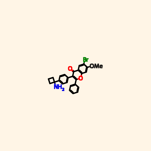 COc1cc2oc(-c3ccccc3)c(-c3ccc(C4(N)CCC4)cc3)c(=O)c2cc1Br